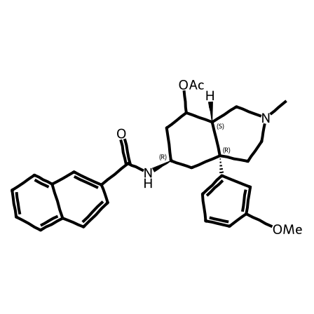 COc1cccc([C@@]23CCN(C)C[C@H]2C(OC(C)=O)C[C@H](NC(=O)c2ccc4ccccc4c2)C3)c1